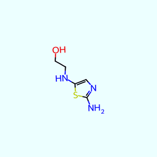 Nc1ncc(NCCO)s1